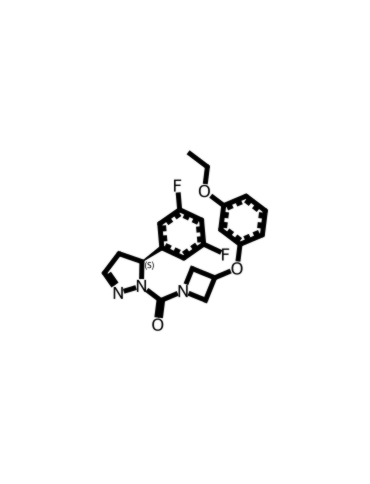 CCOc1cccc(OC2CN(C(=O)N3N=CC[C@H]3c3cc(F)cc(F)c3)C2)c1